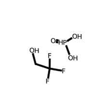 O=[PH](O)O.OCC(F)(F)F